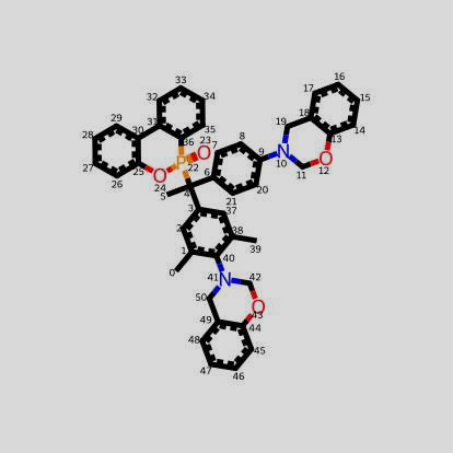 Cc1cc(C(C)(c2ccc(N3COc4ccccc4C3)cc2)P2(=O)Oc3ccccc3-c3ccccc32)cc(C)c1N1COc2ccccc2C1